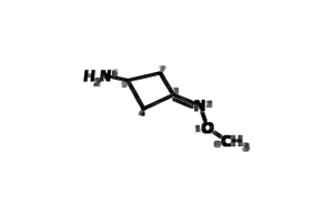 CON=C1CC(N)C1